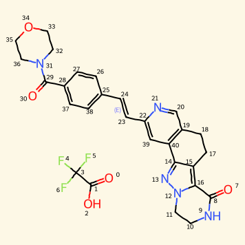 O=C(O)C(F)(F)F.O=C1NCCn2nc3c(c21)CCc1cnc(/C=C/c2ccc(C(=O)N4CCOCC4)cc2)cc1-3